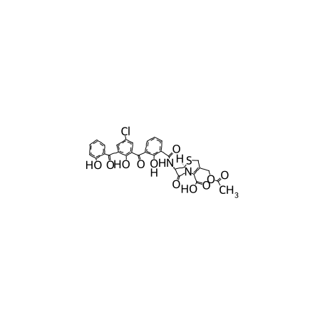 CC(=O)OCC1=C(C(=O)O)N2C(=O)[C@@H](NC(=O)c3cccc(C(=O)c4cc(Cl)cc(C(=O)c5ccccc5O)c4O)c3O)[C@H]2SC1